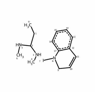 CCC(NC)NC.IN1CC=Cc2ccccc21